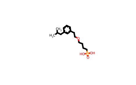 CC(C)Cc1cccc(CCOCCCCP(=O)(O)O)c1